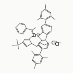 CCCCC1C=C(C(C)(C)C)C=[C]1/[Zr+2](=[C](/C)c1ccccc1)[CH]1c2cc(-c3c(C)cc(C)cc3C)ccc2-c2ccc(-c3c(C)cc(C)cc3C)cc21.[Cl-].[Cl-]